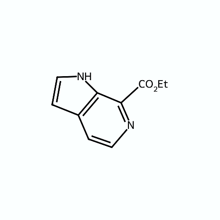 CCOC(=O)c1nccc2cc[nH]c12